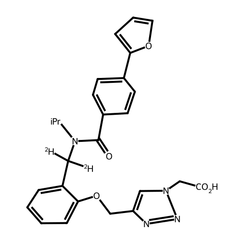 [2H]C([2H])(c1ccccc1OCc1cn(CC(=O)O)nn1)N(C(=O)c1ccc(-c2ccco2)cc1)C(C)C